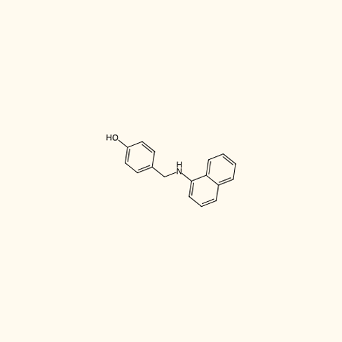 Oc1ccc(CNc2cccc3ccccc23)cc1